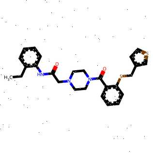 CCc1ccccc1NC(=O)CN1CCN(C(=O)c2ccccc2SCc2ccsc2)CC1